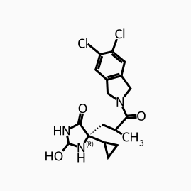 CC(C[C@]1(C2CC2)NC(O)NC1=O)C(=O)N1Cc2cc(Cl)c(Cl)cc2C1